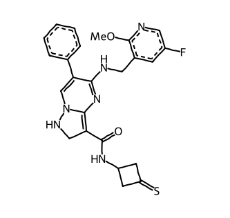 COc1ncc(F)cc1CNC1=NC2=C(C(=O)NC3CC(=S)C3)CNN2C=C1c1ccccc1